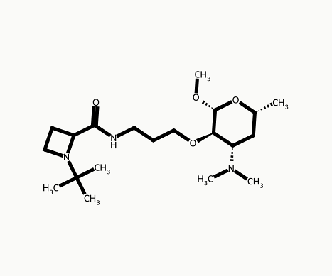 CO[C@@H]1O[C@H](C)C[C@H](N(C)C)[C@H]1OCCCNC(=O)C1CCN1C(C)(C)C